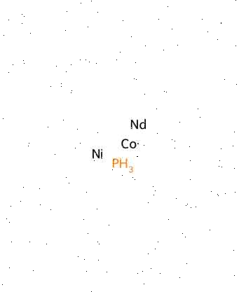 P.[Co].[Nd].[Ni]